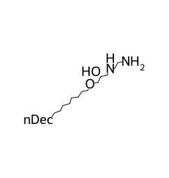 CCCCCCCCCCCCCCCCCCOCC(O)CNCCN